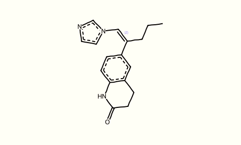 CCC/C(=C/n1ccnc1)c1ccc2c(c1)CCC(=O)N2